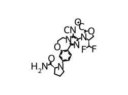 N#Cc1c(N2C(=C=O)OC[C@H]2C(F)F)nc2n1CCOc1cc(N3CCC[C@H]3C(N)=O)ccc1-2